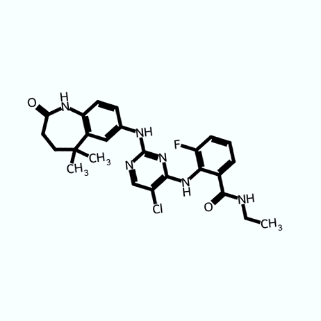 CCNC(=O)c1cccc(F)c1Nc1nc(Nc2ccc3c(c2)C(C)(C)CCC(=O)N3)ncc1Cl